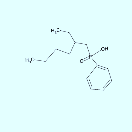 CCCCC(CC)CP(=O)(O)c1ccccc1